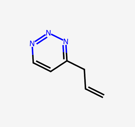 C=CCc1ccnnn1